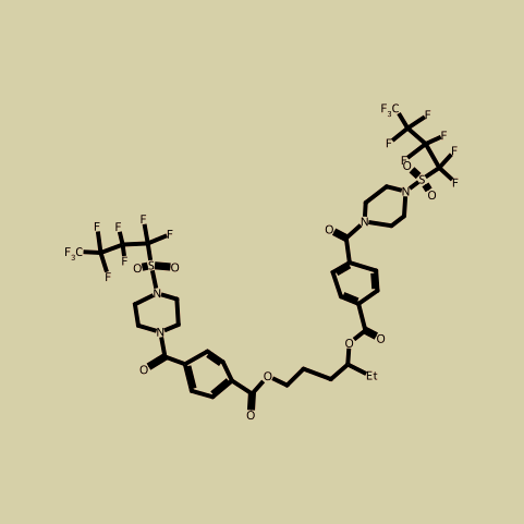 CCC(CCCOC(=O)c1ccc(C(=O)N2CCN(S(=O)(=O)C(F)(F)C(F)(F)C(F)(F)C(F)(F)F)CC2)cc1)OC(=O)c1ccc(C(=O)N2CCN(S(=O)(=O)C(F)(F)C(F)(F)C(F)(F)C(F)(F)F)CC2)cc1